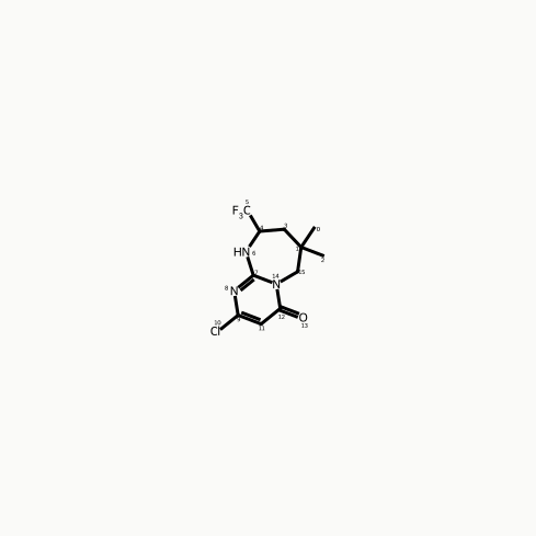 CC1(C)CC(C(F)(F)F)Nc2nc(Cl)cc(=O)n2C1